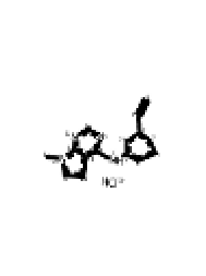 C#Cc1cccc(Nc2ncnc3c2ccn3C)c1.Cl